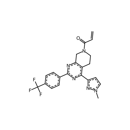 C=CC(=O)N1CCc2c(nc(-c3ccc(C(F)(F)F)cc3)nc2-c2ccn(C)n2)C1